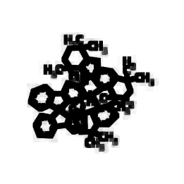 Cc1ccc2c(c1N(c1cc3c(cc1-c1cccc4c1C(C)(C)CCC4(C)C)-c1ccccc1C31c3ccccc3-c3ccccc31)c1c(C)ccc3c1C(C)(C)CCC3(C)C)C(C)(C)CCC2(C)C